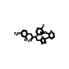 COc1ncccc1-c1nnc(CN(C(=O)Cc2ccc(C(F)(F)F)cc2C(F)(F)F)c2ccc(F)cc2)o1